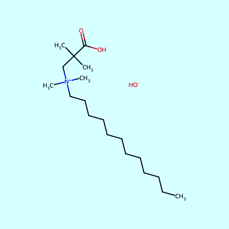 CCCCCCCCCCCC[N+](C)(C)CC(C)(C)C(=O)O.[OH-]